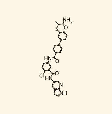 CC(Sc1cccc(-c2ccc(C(=O)Nc3ccc(Cl)c(C(=O)Nc4cnc5[nH]ccc5c4)c3)cc2)c1)C(N)=O